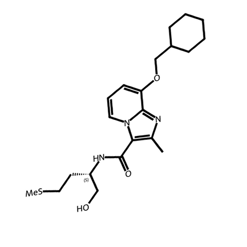 CSCC[C@@H](CO)NC(=O)c1c(C)nc2c(OCC3CCCCC3)cccn12